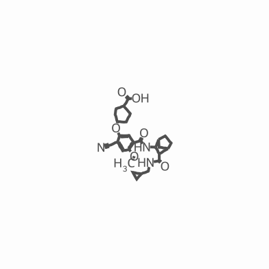 COc1cc(C#N)c(OC2CCC(C(=O)O)CC2)cc1C(=O)NC1C2CCC(C2)C1C(=O)NCC1CC1